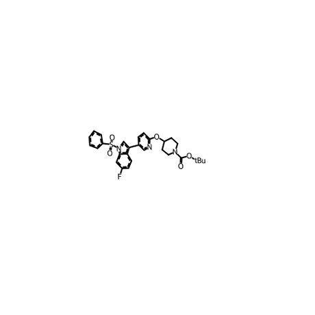 CC(C)(C)OC(=O)N1CCC(Oc2ccc(-c3cn(S(=O)(=O)c4ccccc4)c4cc(F)ccc34)cn2)CC1